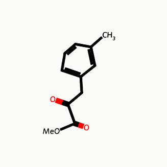 COC(=O)C(=O)Cc1cccc(C)c1